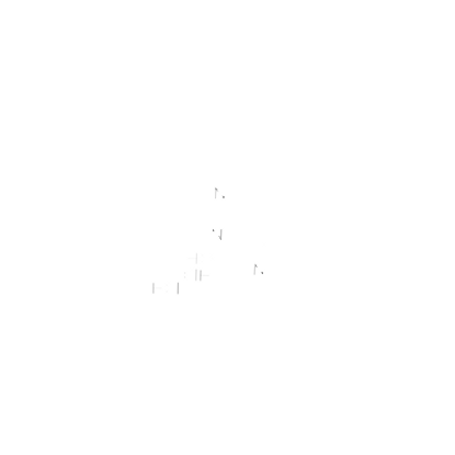 Cc1nc(C(C)C)n(O)c1CN(C)C.Cl.Cl